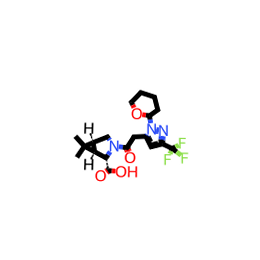 CC1(C)[C@@H]2[C@@H](C(=O)O)N(C(=O)Cc3cc(C(F)(F)F)nn3C3CCCCO3)C[C@@H]21